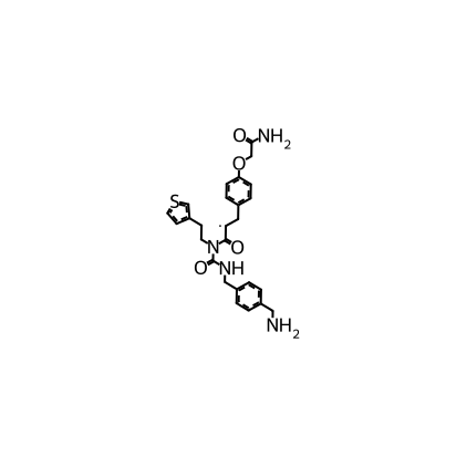 NCc1ccc(CNC(=O)N(CCc2ccsc2)C(=O)[CH]Cc2ccc(OCC(N)=O)cc2)cc1